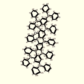 c1ccc(N(c2ccccc2)c2cc3c4c(c2)N(c2ccccc2)c2cc5c(cc2B4c2ccccc2N3c2ccccc2)B2c3ccccc3Oc3c2c(cc2c3B3c4ccccc4N(c4ccccc4)c4cc(N(c6ccccc6)c6ccccc6)cc(c43)N2c2ccccc2)N5c2ccccc2)cc1